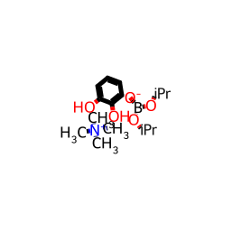 CC(C)OB([O-])OC(C)C.C[N+](C)(C)C.Oc1ccccc1O